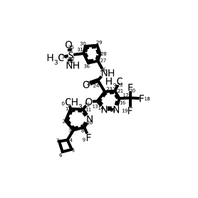 Cc1cc(C2CCC2)c(F)nc1Oc1nnc(C(F)(F)F)c(C)c1C(=O)Nc1cccc(S(C)(=N)=O)c1